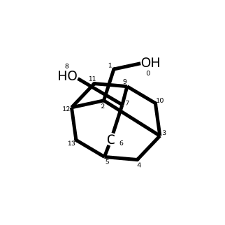 OCC1C2CC3CC(O)C(C2)CC1C3